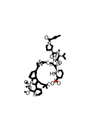 CC#CC(=O)N1CC[C@H](C(=O)N(C)[C@H](C(=O)N[C@H]2Cc3nc(cs3)-c3ccc4c(c3)c(c(-c3cccnc3[C@H](C)OC)n4S(C)(=O)=O)CC(C)(C)COC(=O)[C@@H]3CCCN(N3)C2=O)C(C)C)C1